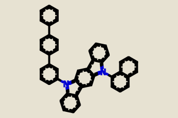 c1ccc(-c2ccc(-c3cccc(-n4c5ccccc5c5cc6c(cc54)c4ccccc4n6-c4cccc5ccccc45)c3)cc2)cc1